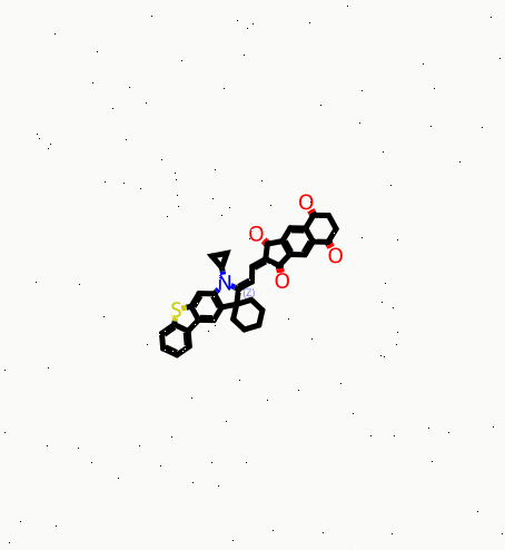 O=C1CCC(=O)c2cc3c(cc21)C(=O)C(=C/C=C1\N(C2CC2)c2cc4sc5ccccc5c4cc2C12CCCCC2)C3=O